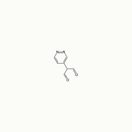 O=CC(C=O)c1ccnnc1